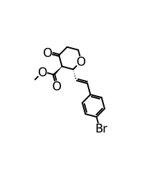 COC(=O)[C@H]1C(=O)CCO[C@@H]1/C=C/c1ccc(Br)cc1